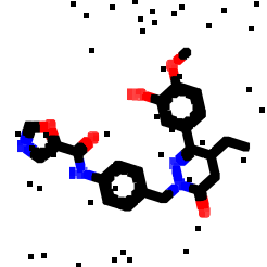 CCC1CC(=O)N(Cc2ccc(NC(=O)c3cnco3)cc2)N=C1c1ccc(OC)c(O)c1